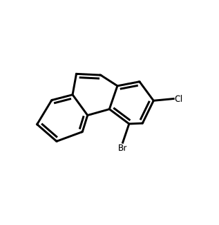 Clc1cc(Br)c2c(ccc3ccccc32)c1